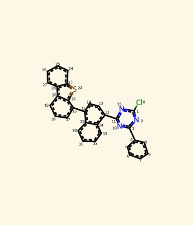 Clc1nc(-c2ccccc2)nc(-c2ccc(-c3cccc4c3sc3ccccc34)c3ccccc23)n1